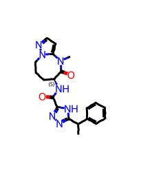 CC(c1ccccc1)c1nnc(C(=O)N[C@H]2CCCn3nccc3N(C)C2=O)[nH]1